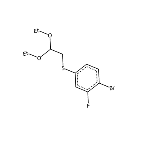 CCOC(CSc1ccc(Br)c(F)c1)OCC